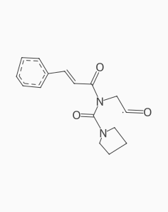 O=[C]CN(C(=O)C=Cc1ccccc1)C(=O)N1CCCC1